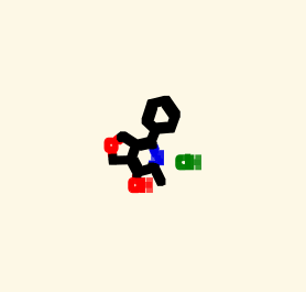 Cc1nc(-c2ccccc2)c2c(c1O)COC2.Cl